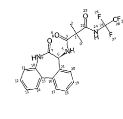 CC(C)(C(=O)N[C@@H]1C(=O)Nc2ccccc2-c2ccccc21)C(=O)NC(F)(F)C(F)(F)F